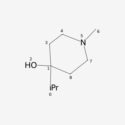 CC(C)C1(O)CCN(C)CC1